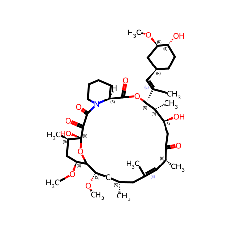 CO[C@H]1C[C@@H](C)C/C(C)=C/[C@@H](C)C(=O)C[C@H](O)[C@@H](C)[C@@H](/C(C)=C/[C@@H]2CC[C@@H](O)[C@H](OC)C2)OC(=O)[C@@H]2CCCCN2C(=O)C(=O)[C@]2(O)OC1[C@@H](OC)C[C@H]2C